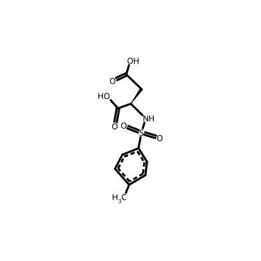 Cc1ccc(S(=O)(=O)N[C@H](CC(=O)O)C(=O)O)cc1